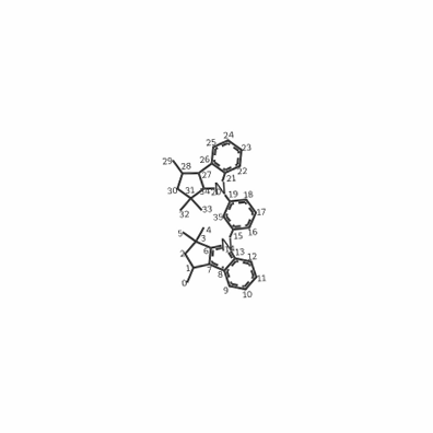 CC1CC(C)(C)c2c1c1ccccc1n2-c1cccc(N2c3ccccc3C3C(C)CC(C)(C)C32)c1